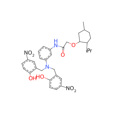 CC1CCC(C(C)C)C(OCC(=O)Nc2cccc(N(Cc3cc([N+](=O)[O-])ccc3O)Cc3cc([N+](=O)[O-])ccc3O)c2)C1